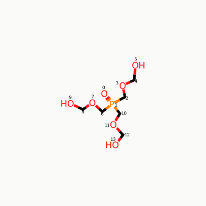 O=P(COCO)(COCO)COCO